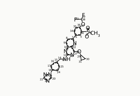 CS(=O)(=O)c1cc(-c2ccc3nc(NCc4ccc(-n5cncn5)cc4)nc(OC4CC4)c3n2)ccc1OC(F)F